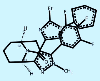 CCc1nc(C(=O)N2[C@H]3CCC[C@@H]2c2nn(C)c(-c4cc(F)c(F)c(F)c4)c2C3)nn1-c1ccccc1